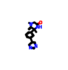 C=C1N(C)CC(=O)NC1(C)c1cccc(-c2cncnc2)c1